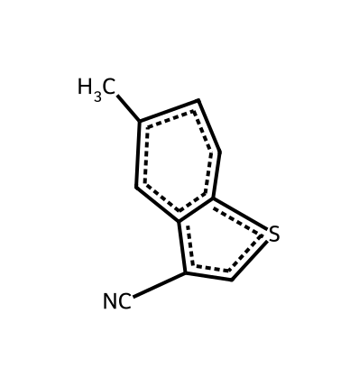 Cc1ccc2scc(C#N)c2c1